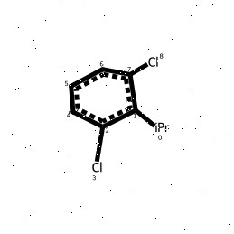 CC(C)c1c(Cl)[c]ccc1Cl